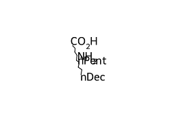 CCCCCCCCCCCCCCCCCCCC(=O)O.CCCCCN